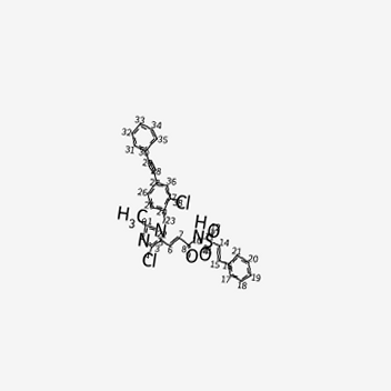 Cc1nc(Cl)c(/C=C/C(=O)NS(=O)(=O)C=Cc2ccccc2)n1Cc1ccc(C#Cc2ccccc2)cc1Cl